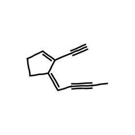 C#CC1=CCC/C1=C/C#CC